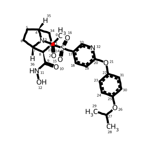 CC(=O)N1[C@@H]2CC[C@H]1[C@H](C(=O)NO)N(S(=O)(=O)c1ccc(Oc3ccc(OC(C)C)cc3)nc1)C2